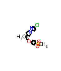 C[C@H](CCOc1ccc(S(C)(=O)=O)cc1)C1CCN(c2ccc(Cl)cn2)CC1